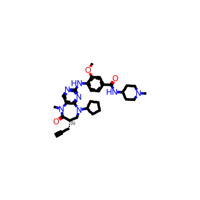 C#CC[C@H]1CN(C2CCCC2)c2nc(Nc3ccc(C(=O)NC4CCN(C)CC4)cc3OC)ncc2N(C)C1=O